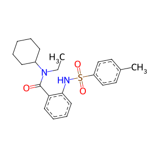 CCN(C(=O)c1ccccc1NS(=O)(=O)c1ccc(C)cc1)C1CCCCC1